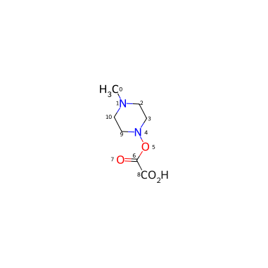 CN1CCN(OC(=O)C(=O)O)CC1